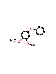 COc1ccc(Oc2cc[c]cc2)cc1OC